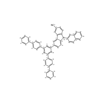 N#Cc1ccc2c(c1)c1cc(-c3nc(-c4ccc(-c5ccccc5)cc4)nc(-c4ccc(-c5ccccc5)cc4)n3)ccc1n2-c1ccc2ccccc2c1